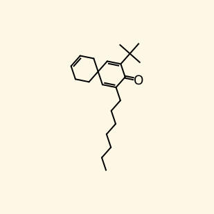 CCCCCCCC1=CC2(C=C(C(C)(C)C)C1=O)CC=CCC2